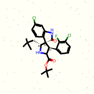 CC(C)(C)C[C@H]1NC(C(=O)OC(C)(C)C)[C@H](c2cccc(Cl)c2F)[C@@]12C(=O)Nc1cc(Cl)ccc12